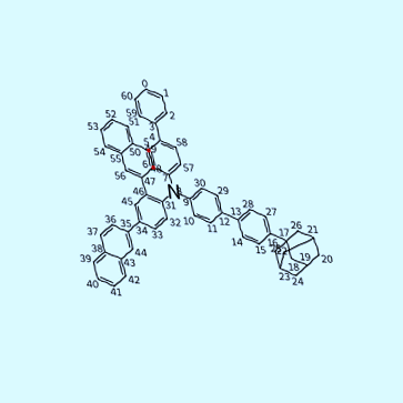 c1ccc(-c2ccc(N(c3ccc(-c4ccc(C56CC7CC(CC(C7)C5)C6)cc4)cc3)c3ccc(-c4ccc5ccccc5c4)cc3-c3ccc4ccccc4c3)cc2)cc1